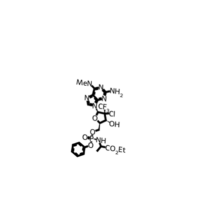 CCOC(=O)C(C)N[P@@](=O)(OC[C@H]1O[C@@H](n2cnc3c(NC)nc(N)nc32)[C@@](Cl)(C(F)(F)F)[C@@H]1O)Oc1ccccc1